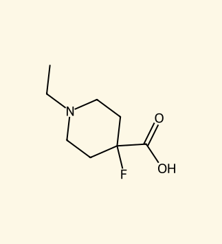 CCN1CCC(F)(C(=O)O)CC1